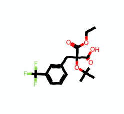 CCOC(=O)C(Cc1cccc(C(F)(F)F)c1)(OC(C)(C)C)C(=O)O